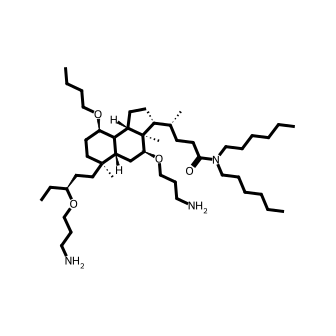 CCCCCCN(CCCCCC)C(=O)CC[C@@H](C)[C@H]1CC[C@H]2C3[C@H](OCCCC)CC[C@](C)(CC[C@H](CC)OCCCN)[C@H]3C[C@H](OCCCN)[C@]12C